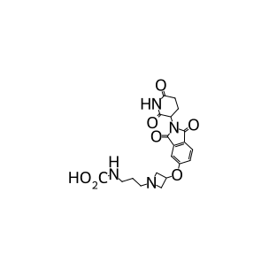 O=C(O)NCCCN1CC(Oc2ccc3c(c2)C(=O)N(C2CCC(=O)NC2=O)C3=O)C1